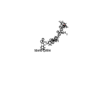 COc1ccc(C[C@H]2COC(=O)[C@@H]2CCc2ccc(OC(=O)N[C@H]3CCN(CCOC(=O)[C@@H](N)COC(=O)NC45CC6CC(C)(CC(C)(C6)C4)C5)C3)c(OC)c2)cc1OC